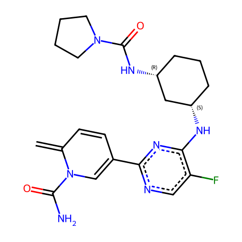 C=C1C=CC(c2ncc(F)c(N[C@H]3CCC[C@@H](NC(=O)N4CCCC4)C3)n2)=CN1C(N)=O